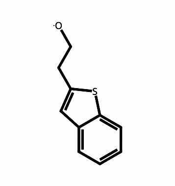 [O]CCc1cc2ccccc2s1